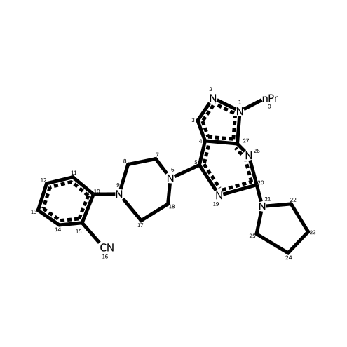 CCCn1ncc2c(N3CCN(c4ccccc4C#N)CC3)nc(N3CCCC3)nc21